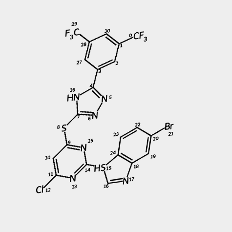 FC(F)(F)c1cc(-c2nnc(Sc3cc(Cl)nc([SH]4C=Nc5cc(Br)ccc54)n3)[nH]2)cc(C(F)(F)F)c1